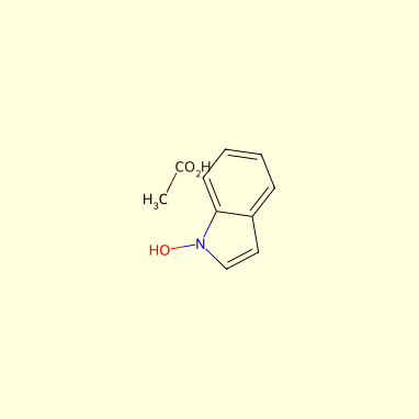 CC(=O)O.On1ccc2ccccc21